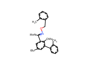 CN/C(=N\OCc1ccccc1C)c1cc(C(C)(C)C)cc(-c2ccccc2C)c1OC